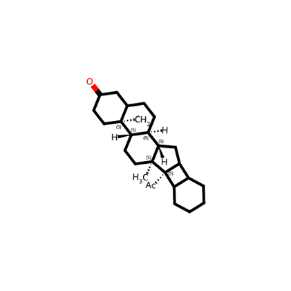 CC(=O)[C@@]12C3CCCCC3C1C[C@H]1[C@@H]3CCC4CC(=O)CC[C@]4(C)[C@H]3CC[C@@]12C